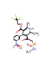 CNS(=O)(=O)CC(=O)C1=C(c2cccc([N+](=O)[O-])c2)C(C(=O)OCC(F)(F)F)=C(C)NC1C